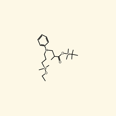 CCO[Si](C)(C)CCCN(CC(C)C(=O)O[Si](C)(C)C(C)(C)C)c1ccccc1